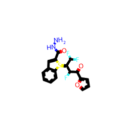 NNC(=O)C1=Cc2ccccc2S1=C(C(F)F)C(F)C(=O)c1ccco1